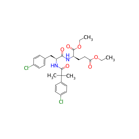 CCOC(=O)CC[C@@H](NC(=O)[C@H](Cc1ccc(Cl)cc1)NC(=O)C(C)(C)c1ccc(Cl)cc1)C(=O)OCC